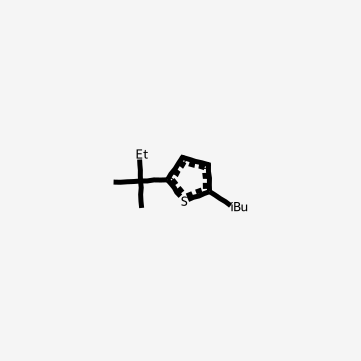 CCC(C)c1ccc(C(C)(C)CC)s1